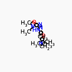 C=CN(C)c1ccc(Oc2ccc(Nc3ncnc4cc5c(cc34)N(CCCC)CC(C)CO5)cc2C)cc1C(C)C